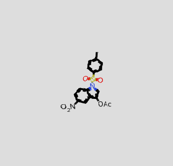 CC(=O)Oc1cn(S(=O)(=O)c2ccc(C)cc2)c2ccc([N+](=O)[O-])cc12